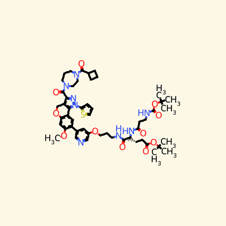 COc1cc2c(cc1-c1cncc(OCCCNC(=O)[C@@H](CCC(=O)OC(C)(C)C)NC(=O)CCNC(=O)OC(C)(C)C)c1)-c1c(c(C(=O)N3CCCN(C(=O)C4CCC4)CC3)nn1-c1cccs1)CO2